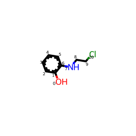 Oc1ccccc1NCCCl